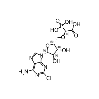 Nc1nc(Cl)nc2c1ncn2[C@@H]1O[C@H](CO[C@H](C(=O)O)P(=O)(O)O)[C@H](O)[C@H]1O